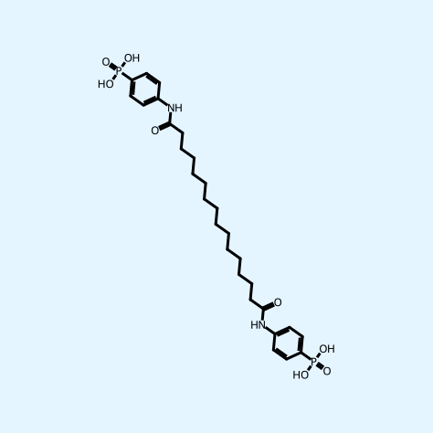 O=C(CCCCCCCCCCCCCCC(=O)Nc1ccc(P(=O)(O)O)cc1)Nc1ccc(P(=O)(O)O)cc1